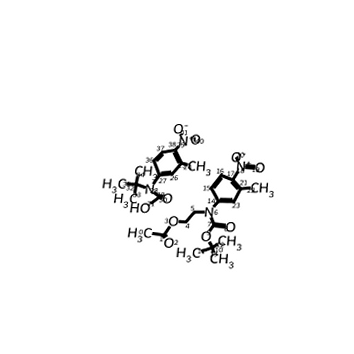 CC(=O)OCCN(C(=O)OC(C)(C)C)c1ccc([N+](=O)[O-])c(C)c1.Cc1cc(N(C(=O)O)C(C)(C)C)ccc1[N+](=O)[O-]